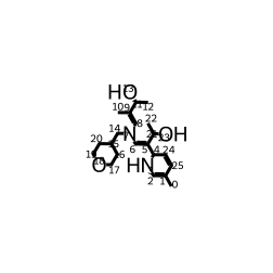 CC1=CNC(/C(=C/N(/C=C(\C)C(C)O)CC2CCOCC2)C(C)O)C=C1